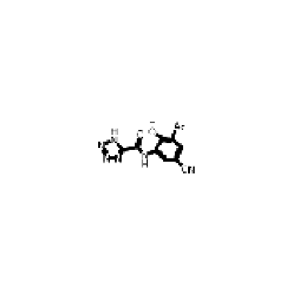 CC(=O)c1cc(C#N)cc(NC(=O)c2nnn[nH]2)c1O